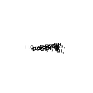 CCCCN(CC1CO1)c1ccc(C(C)(C)c2ccc(C(C)(C)c3ccc(N(CCC[Si](OCC)(OCC)OCC)CC4CO4)cc3)cc2)cc1